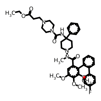 CCOC(=O)CCN1CCN(C(=O)NC2(c3ccccc3)CCN(N(C)C(=O)c3cc(OC)c(OC)c(OC)c3-c3ccccc3-c3ccc(F)cc3)CC2)CC1